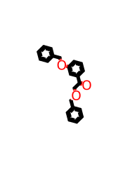 O=C(COCc1ccccc1)c1cccc(OCc2ccccc2)c1